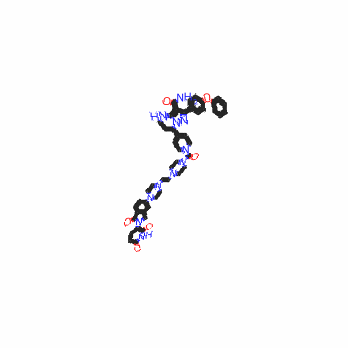 NC(=O)c1c(-c2ccc(Oc3ccccc3)cc2)nn2c1NCCC2C1CCN(C(=O)N2CCN(CCN3CCN(c4ccc5c(c4)CN(C4CCC(=O)NC4=O)C5=O)CC3)CC2)CC1